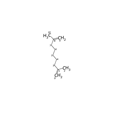 C=C(C)CCCCCC(=C)C